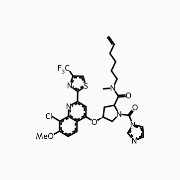 C=CCCCCN(C)C(=O)C1C[C@H](Oc2cc(-c3nc(C(F)(F)F)cs3)nc3c(Cl)c(OC)ccc23)CN1C(=O)n1ccnc1